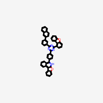 c1cc(-c2ccc3ccccc3c2)cc(-c2nc(-c3ccc(C4=c5ccccc5=C5c6ccccc6OC5N4)cc3)nc(-c3cccc4oc5ccccc5c34)n2)c1